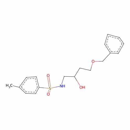 Cc1ccc(S(=O)(=O)NCC(O)CCOCc2ccccc2)cc1